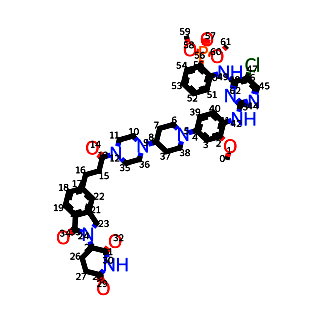 COc1cc(N2CCC(N3CCN(C(=O)CCc4ccc5c(c4)CN(C4CCC(=O)NC4=O)C5=O)CC3)CC2)ccc1Nc1ncc(Cl)c(Nc2ccccc2P(=O)(OC)OC)n1